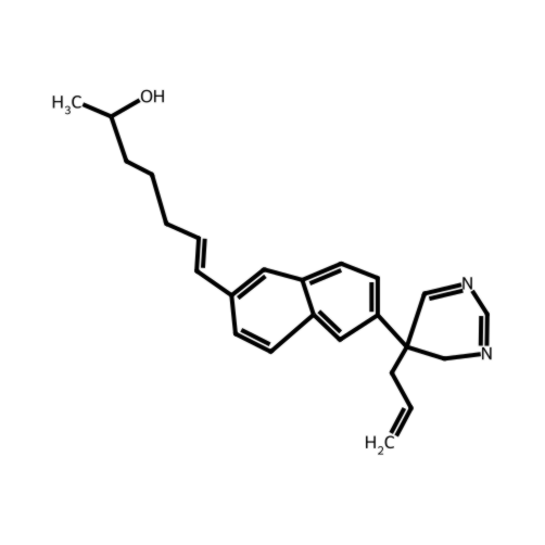 C=CCC1(c2ccc3cc(C=CCCCC(C)O)ccc3c2)C=NC=NC1